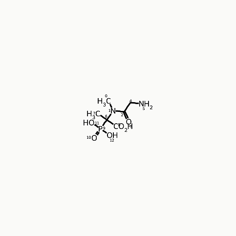 CN(C(=O)CN)C(C)(C(=O)O)P(=O)(O)O